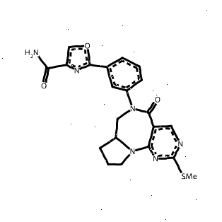 CSc1ncc2c(n1)N1CCCC1CN(c1cccc(-c3nc(C(N)=O)co3)c1)C2=O